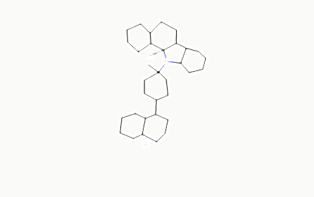 CC1(N2C3CCCCC3C3CCC4CCCCC4[C@H]32)CCC(C2CCC[C@H]3CCCCC23)CC1